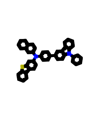 c1ccc(-n2c3ccccc3c3cc(-c4ccc(N(c5ccc6ccccc6c5)c5ccc6c(c5)sc5ccccc56)cc4)ccc32)cc1